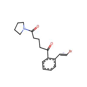 O=C(CCCC(=O)N1CCCC1)c1ccccc1/C=C/Br